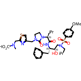 COc1ccc(S(=O)(=O)N(CC(C)C)C[C@H](O)[C@H](Cc2ccccc2)NC(=O)[C@H](C(C)C)N2CCN(Cc3csc(CN(C)C(=O)O)n3)C2=O)cc1